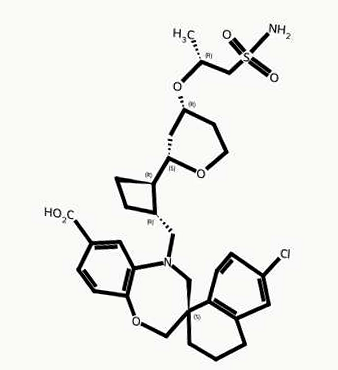 C[C@H](CS(N)(=O)=O)O[C@@H]1CCO[C@H]([C@@H]2CC[C@H]2CN2C[C@@]3(CCCc4cc(Cl)ccc43)COc3ccc(C(=O)O)cc32)C1